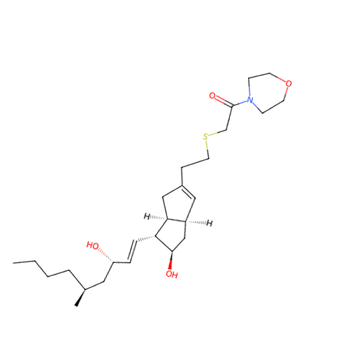 CCCC[C@H](C)C[C@H](O)/C=C/[C@@H]1[C@H]2CC(CCSCC(=O)N3CCOCC3)=C[C@H]2C[C@H]1O